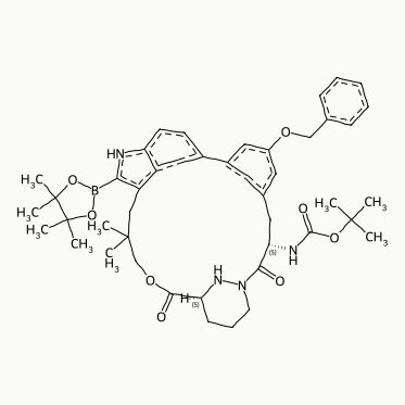 CC1(C)COC(=O)[C@@H]2CCCN(N2)C(=O)[C@@H](NC(=O)OC(C)(C)C)Cc2cc(OCc3ccccc3)cc(c2)-c2ccc3[nH]c(B4OC(C)(C)C(C)(C)O4)c(c3c2)C1